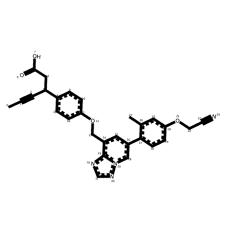 CC#CC(CC(=O)O)c1ccc(OCc2cc(-c3ccc(OCC#N)cc3C)cn3ncnc23)cc1